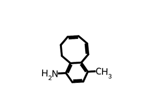 Cc1ccc(N)c2c1/C=C\C=C/CC2